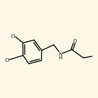 CCC(=O)NCc1ccc(Cl)c(Cl)c1